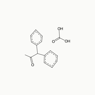 CC(=O)C(c1ccccc1)c1ccccc1.O=C(O)O